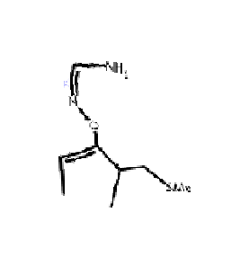 CC=C(O/N=C\N)C(C)CSC